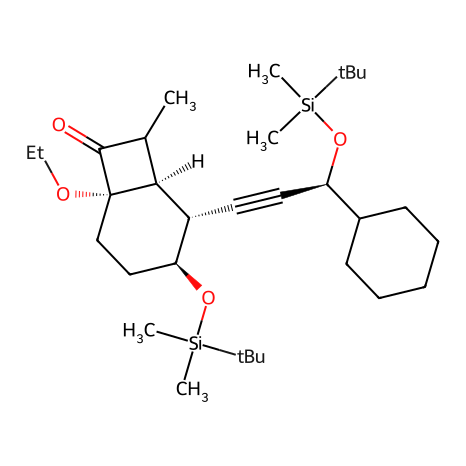 CCO[C@@]12CC[C@H](O[Si](C)(C)C(C)(C)C)[C@@H](C#C[C@@H](O[Si](C)(C)C(C)(C)C)C3CCCCC3)[C@@H]1C(C)C2=O